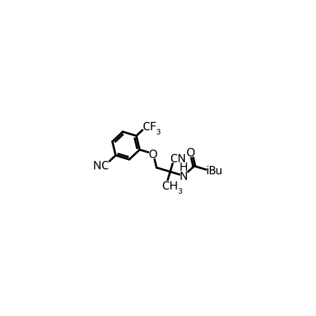 CCC(C)C(=O)NC(C)(C#N)COc1cc(C#N)ccc1C(F)(F)F